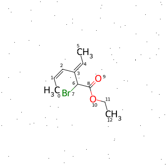 C/C=C\C(=C/C)C(Br)C(=O)OCC